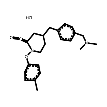 Cc1ccc(ON2CCC(Cc3ccc(CN(C)C)cc3)CC2=C=O)cc1.Cl